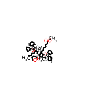 CCCCCC(C)(C=C[C@H]1[C@@H](CC=CCCCC(=O)OC)[C@H](O[Si](c2ccccc2)(c2ccccc2)C(C)(C)C)C[C@H]1OC1CCCCO1)O[Si](c1ccccc1)(c1ccccc1)C(C)(C)C